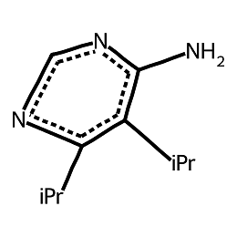 CC(C)c1ncnc(N)c1C(C)C